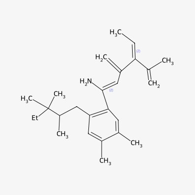 C=C(C)/C(=C/C)C(=C)/C=C(\N)c1cc(C)c(C)cc1CC(C)C(C)(C)CC